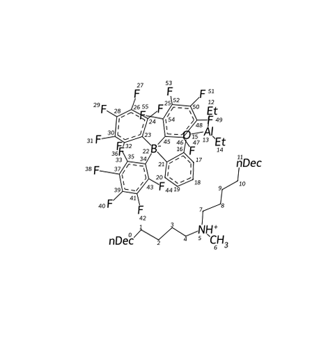 CCCCCCCCCCCCCC[NH+](C)CCCCCCCCCCCCCC.C[CH2][Al]([CH2]C)[O]c1ccccc1[B-](c1c(F)c(F)c(F)c(F)c1F)(c1c(F)c(F)c(F)c(F)c1F)c1c(F)c(F)c(F)c(F)c1F